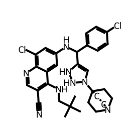 CC(C)(C)CNc1c(C#N)cnc2c(Cl)cc(NC(C3=CN(C45CCN(CC4)CC5)NN3)c3ccc(Cl)cc3)cc12